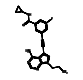 NCCn1cc(C#Cc2cc(F)cc(C(=O)NC3CC3)c2)c2c(N)ncnc21